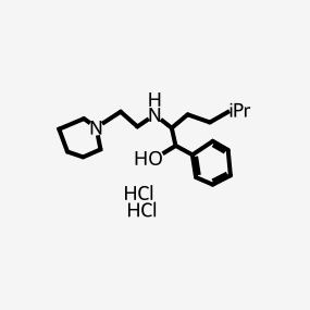 CC(C)CCC(NCCN1CCCCC1)C(O)c1ccccc1.Cl.Cl